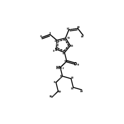 C=Cc1sc(C(=O)NC(CCC)CCC)cc1/C=C\C